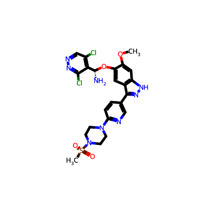 COc1cc2[nH]nc(-c3ccc(N4CCN(S(C)(=O)=O)CC4)nc3)c2cc1O[C@H](N)c1c(Cl)cnnc1Cl